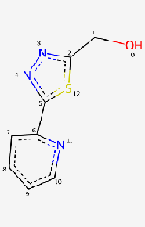 OCc1nnc(-c2ccccn2)s1